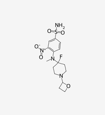 CN(c1ccc(S(N)(=O)=O)cc1[N+](=O)[O-])C1(F)CCN(C2CCO2)CC1